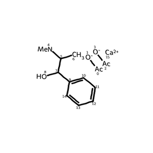 CC(=O)[O-].CC(=O)[O-].CNC(C)C(O)c1ccccc1.[Ca+2]